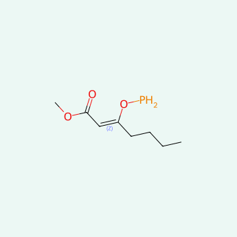 CCCC/C(=C/C(=O)OC)OP